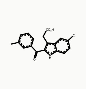 Cc1cccc(C(=O)c2[nH]c3ccc(Cl)cc3c2CC(=O)O)c1